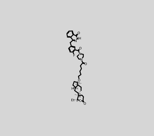 CC[C@H]1CC(=O)CC[C@]1(C)[C@H]1CC[C@@]2(C)[C@@H](CC[C@@H]2OCCCCCC(=O)N2CCN(C(=O)c3cc(Cc4n[nH]c(=O)c5ccccc45)ccc3F)CC2)C1